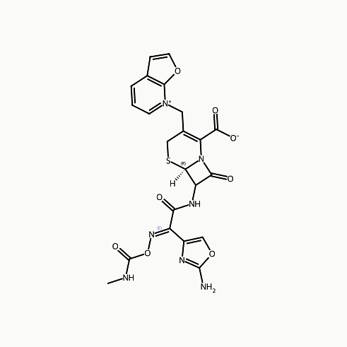 CNC(=O)O/N=C(/C(=O)NC1C(=O)N2C(C(=O)[O-])=C(C[n+]3cccc4ccoc43)CS[C@H]12)c1coc(N)n1